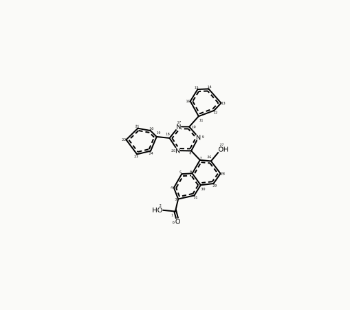 O=C(O)c1ccc2c(-c3nc(-c4ccccc4)nc(-c4ccccc4)n3)c(O)ccc2c1